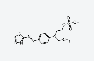 CCN(CCOS(=O)(=O)O)c1ccc(N=Nc2nncs2)cc1